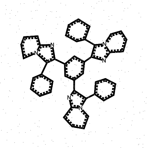 c1ccc(-c2c(-c3cc(-c4nc5ccccn5c4-c4ccccc4)cc(-c4nc5ccccn5c4-c4ccccc4)c3)nc3ccccn23)cc1